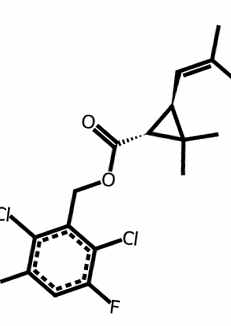 CC(C)=C[C@@H]1[C@@H](C(=O)OCc2c(Cl)c(F)cc(F)c2Cl)C1(C)C